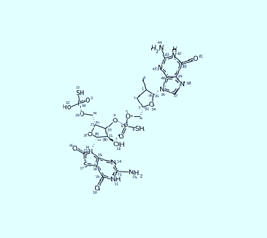 CC1C[C@@H](COP(=O)(S)OC2[C@@H](O)[C@H](n3c(=O)sc4c(=O)[nH]c(N)nc43)O[C@@H]2COP(=O)(O)S)O[C@H]1n1cnc2c(=O)[nH]c(N)nc21